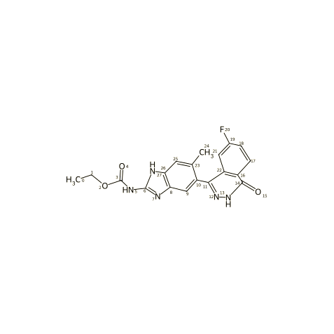 CCOC(=O)Nc1nc2cc(-c3n[nH]c(=O)c4ccc(F)cc34)c(C)cc2[nH]1